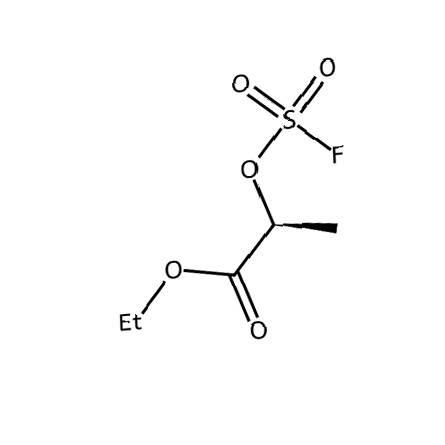 CCOC(=O)[C@H](C)OS(=O)(=O)F